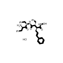 CC(C)C[C@@H](N)C(=O)N(CC(C)C)NC(=O)[C@H](CC(C)C)[C@H](CC=Cc1ccccc1)C(=O)NO.Cl